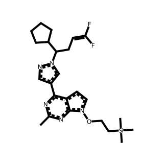 Cc1nc(-c2cnn(C(CC=C(F)F)C3CCCC3)c2)c2ccn(OCC[Si](C)(C)C)c2n1